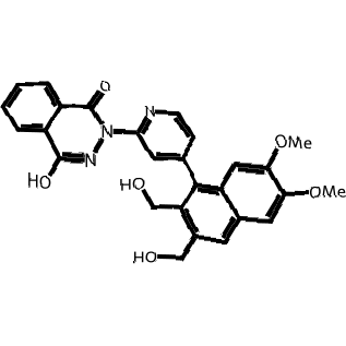 COc1cc2cc(CO)c(CO)c(-c3ccnc(-n4nc(O)c5ccccc5c4=O)c3)c2cc1OC